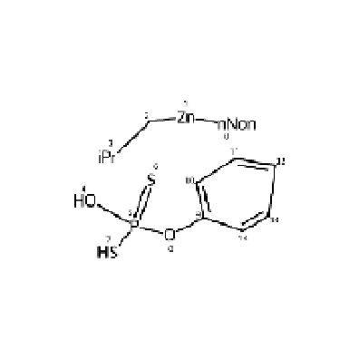 CCCCCCCC[CH2][Zn][CH2]C(C)C.OP(=S)(S)Oc1ccccc1